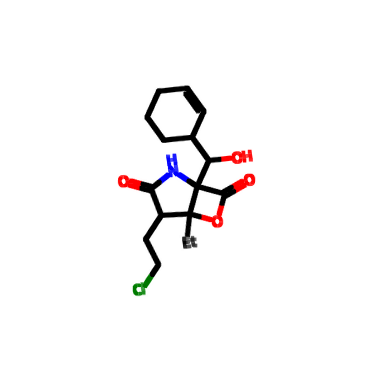 CCC12OC(=O)C1(C(O)C1C=CCCC1)NC(=O)C2CCCl